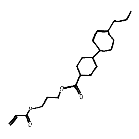 C=CC(=O)OCCCOC(=O)C1CCC(C2CCC(CCC)CC2)CC1